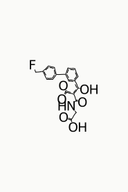 O=C(O)CNC(=O)c1c(O)c2cccc(-c3ccc(CF)cc3)c2oc1=O